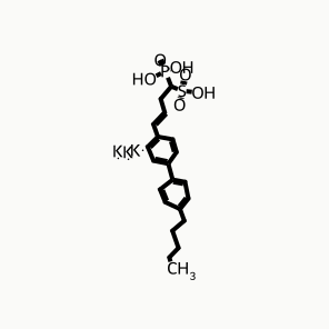 CCCCCc1ccc(-c2ccc(C=CCC(P(=O)(O)O)S(=O)(=O)O)cc2)cc1.[K].[K].[K]